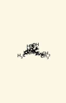 Cc1ccc(NC(=O)CC(CC(=O)O)c2noc(C3CC(CCC(C)C)C3)c2C2CC2)c(Cl)c1